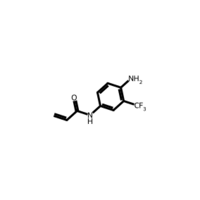 C=CC(=O)Nc1ccc(N)c(C(F)(F)F)c1